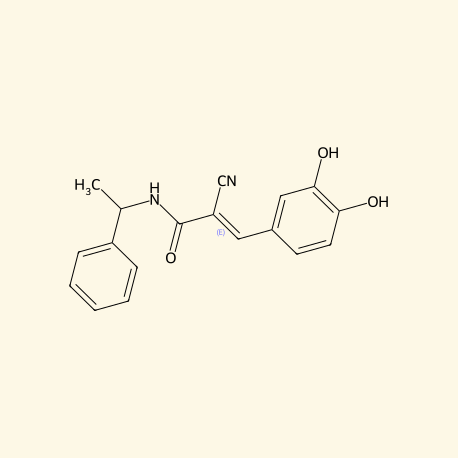 CC(NC(=O)/C(C#N)=C/c1ccc(O)c(O)c1)c1ccccc1